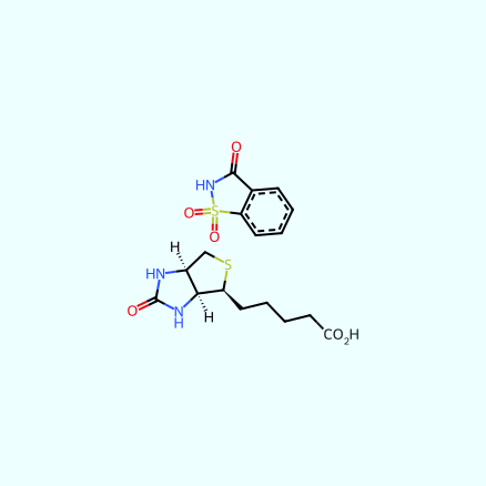 O=C(O)CCCC[C@@H]1SC[C@@H]2NC(=O)N[C@@H]21.O=C1NS(=O)(=O)c2ccccc21